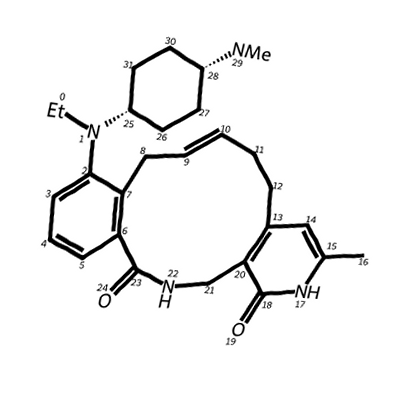 CCN(c1cccc2c1C/C=C/CCc1cc(C)[nH]c(=O)c1CNC2=O)[C@H]1CC[C@@H](NC)CC1